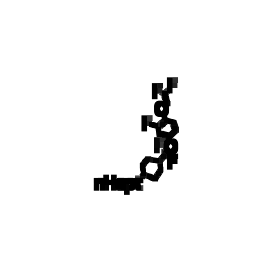 CCCCCCCC1CCC(C(F)(F)Oc2ccc(OC=C(F)F)c(F)c2)CC1